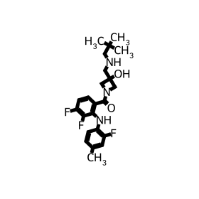 Cc1ccc(Nc2c(C(=O)N3CC(O)(CNCC(C)(C)C)C3)ccc(F)c2F)c(F)c1